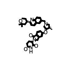 C[C@@H]1CN(Cc2ccc3nc([C@@H]4CCOC(C)(C)C4)ccc3c2)C[C@H]1Oc1ccc2c(c1)CN([C@H]1CCC(=O)NC1=O)C2=O